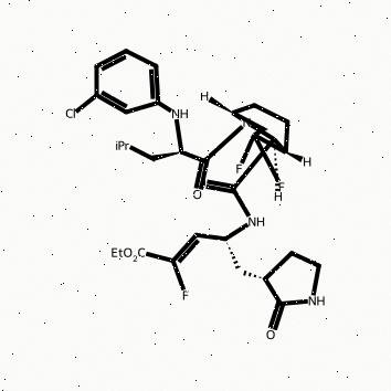 CCOC(=O)/C(F)=C/[C@@H](C[C@@H]1CCNC1=O)NC(=O)[C@@H]1[C@H]2CC[C@H](CC2(F)F)N1C(=O)[C@@H](CC(C)C)Nc1cccc(Cl)c1